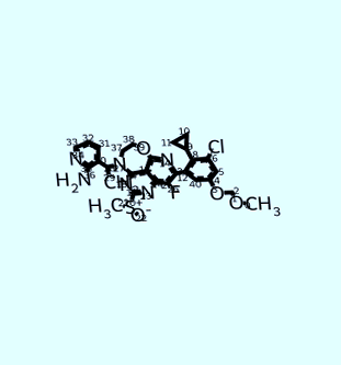 COCOc1cc(Cl)c(C2CC2)c(-c2nc3c4c(nc([S+](C)[O-])nc4c2F)N(C(C)c2cccnc2N)CCO3)c1